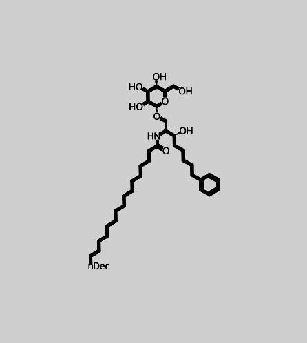 CCCCCCCCCCCCCCCCCCCCCCCCCC(=O)N[C@@H](CO[C@H]1OC(CO)[C@H](O)C(O)C1O)[C@H](O)CCCCCc1ccccc1